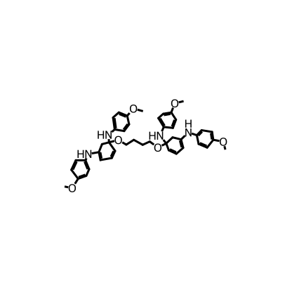 COc1ccc(NC2=CC=CC(Nc3ccc(OC)cc3)(OCCCCOC3(Nc4ccc(OC)cc4)C=CC=C(Nc4ccc(OC)cc4)C3)C2)cc1